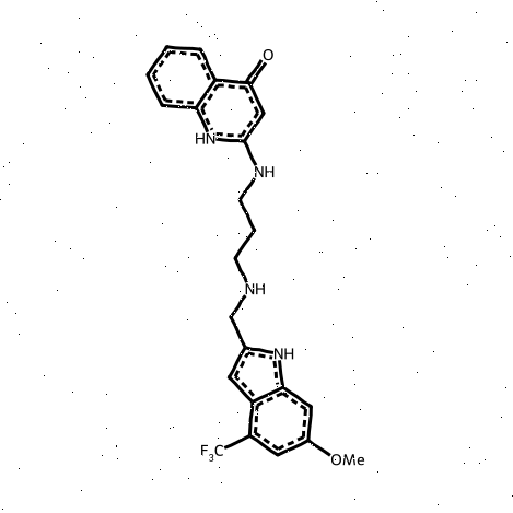 COc1cc(C(F)(F)F)c2cc(CNCCCNc3cc(=O)c4ccccc4[nH]3)[nH]c2c1